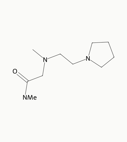 CNC(=O)CN(C)CCN1CCCC1